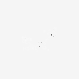 Cc1c(Cl)cccc1CCCOc1ccc(CCC(N)(CO)COP(=O)(O)O)cc1C(F)(F)F